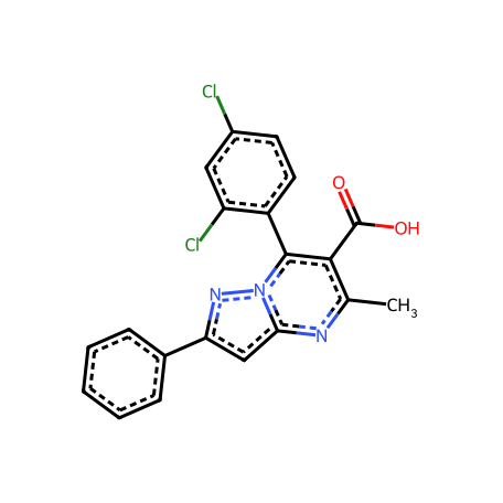 Cc1nc2cc(-c3ccccc3)nn2c(-c2ccc(Cl)cc2Cl)c1C(=O)O